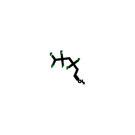 C=CCC(F)(F)CC(F)(F)C(F)F